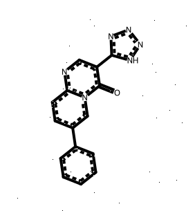 O=c1c(-c2nnn[nH]2)cnc2ccc(-c3ccccc3)cn12